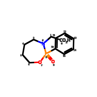 O=C(O)CN1CCCCOP1(=O)c1ccccc1